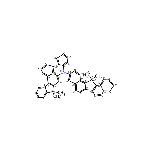 CC1(C)c2ccccc2-c2c1cc(N(c1ccccc1)c1ccc3c4c(ccc3c1)-c1ccc3ccccc3c1C4(C)C)c1ccccc21